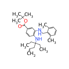 C=CCC(CC)(CC)Nc1ccc(C(=O)OC(C)(C)C)cc1NCc1c(C)cccc1C